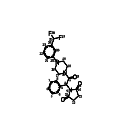 O=C(C(c1ccccc1)N1C(=O)CCC1=O)N1CCN(c2cccc(C(F)F)c2)CC1